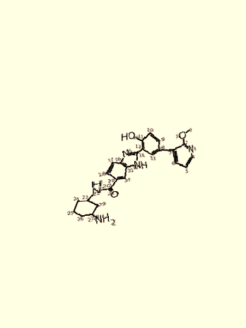 COc1ncccc1-c1ccc(O)c(-c2nc3ccc(C(=O)NC4CCCC(N)C4)cc3[nH]2)c1